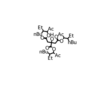 CCCCC(CC)C(OC(=O)CC(O)(CC(=O)OC(C(C)=O)C(CC)CCCC)C(=O)OC(C(C)=O)C(CC)CCCC)C(C)=O